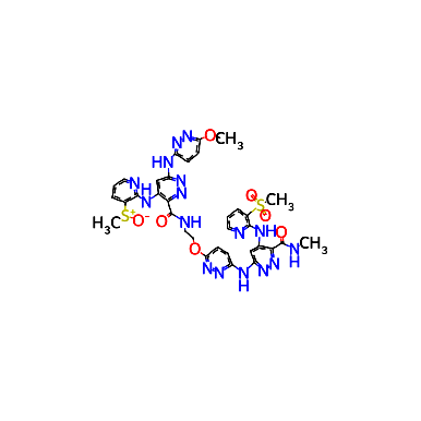 CNC(=O)c1nnc(Nc2ccc(OCCNC(=O)c3nnc(Nc4ccc(OC)nn4)cc3Nc3ncccc3[S+](C)[O-])nn2)cc1Nc1ncccc1S(C)(=O)=O